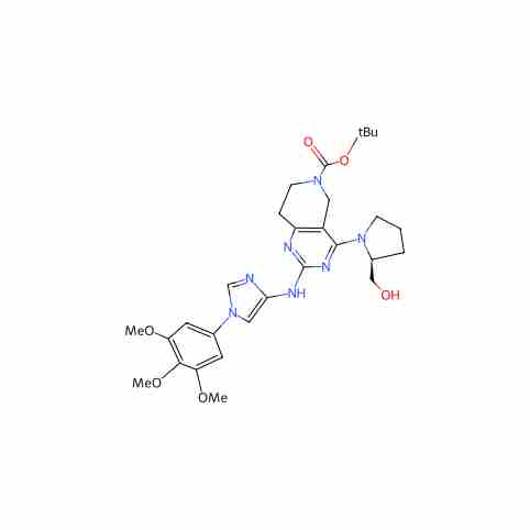 COc1cc(-n2cnc(Nc3nc4c(c(N5CCC[C@H]5CO)n3)CN(C(=O)OC(C)(C)C)CC4)c2)cc(OC)c1OC